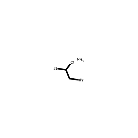 CCCCC(Cl)CC.N